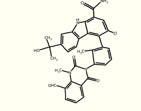 Cc1c(-c2c(Cl)cc(C(N)=O)c3[nH]c4cc(C(C)(C)O)ccc4c23)cccc1-n1c(=O)c2cccc(C=O)c2n(C)c1=O